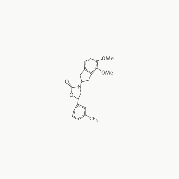 COc1ccc2c(c1OC)CC(N1CC(c3cccc(C(F)(F)F)c3)OC1=O)C2